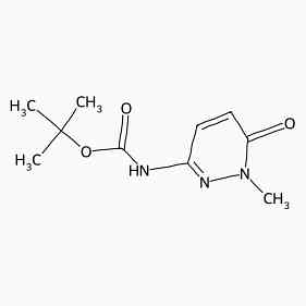 Cn1nc(NC(=O)OC(C)(C)C)ccc1=O